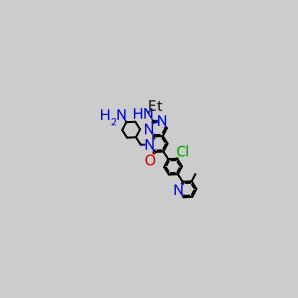 CCNc1ncc2cc(-c3ccc(-c4ncccc4C)cc3Cl)c(=O)n(CC3CCC(N)CC3)c2n1